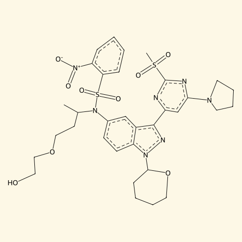 CC(CCOCCO)N(c1ccc2c(c1)c(-c1cc(N3CCCC3)nc(S(C)(=O)=O)n1)nn2C1CCCCO1)S(=O)(=O)c1ccccc1[N+](=O)[O-]